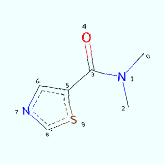 CN(C)C(=O)c1cn[c]s1